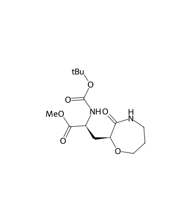 COC(=O)[C@H](C[C@@H]1OCCCNC1=O)NC(=O)OC(C)(C)C